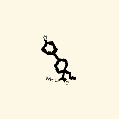 C=CCC1(C(=O)OC)CCC(c2ccc(Cl)cc2)CC1